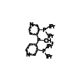 CC(C)P(c1cnccc1P(C)c1ccncc1P(C(C)C)C(C)C)C(C)C